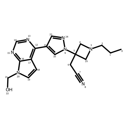 CCCN1CC(CC#N)(n2cc(-c3ncnc4c3ccn4CO)cn2)C1